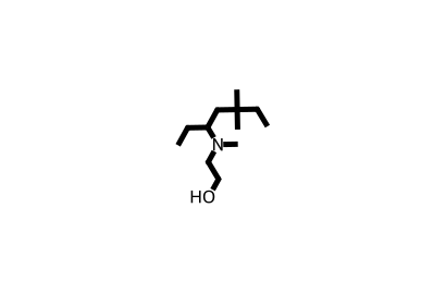 CCC(CC(C)(C)CC)N(C)CCO